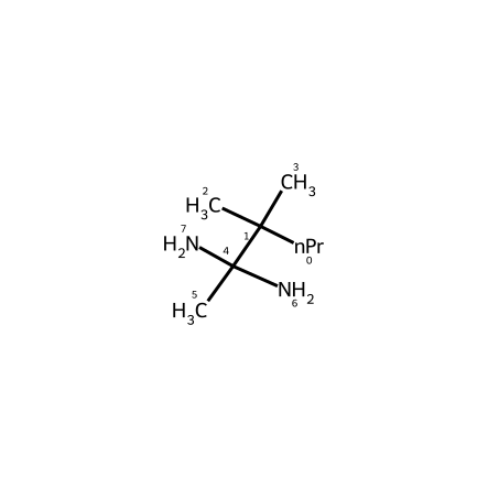 CCCC(C)(C)C(C)(N)N